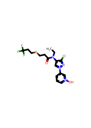 CCN(C(=O)CCSCCC(F)(F)F)c1cn(-c2ccc[n+](O)c2)nc1Cl